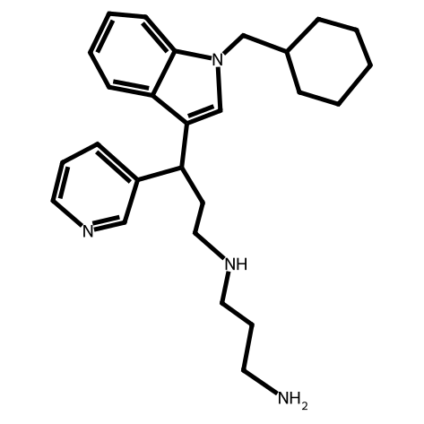 NCCCNCCC(c1cccnc1)c1cn(CC2CCCCC2)c2ccccc12